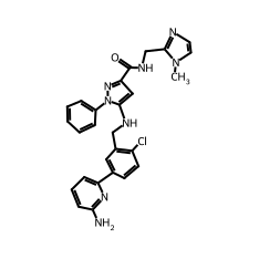 Cn1ccnc1CNC(=O)c1cc(NCc2cc(-c3cccc(N)n3)ccc2Cl)n(-c2ccccc2)n1